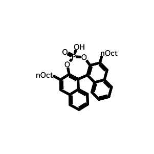 CCCCCCCCc1cc2ccccc2c2c1OP(=O)(O)Oc1c(CCCCCCCC)cc3ccccc3c1-2